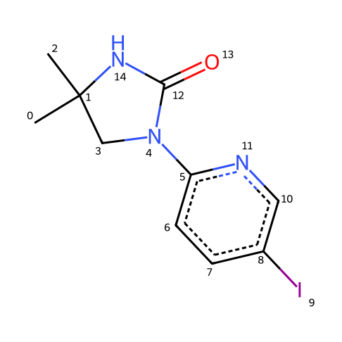 CC1(C)CN(c2ccc(I)cn2)C(=O)N1